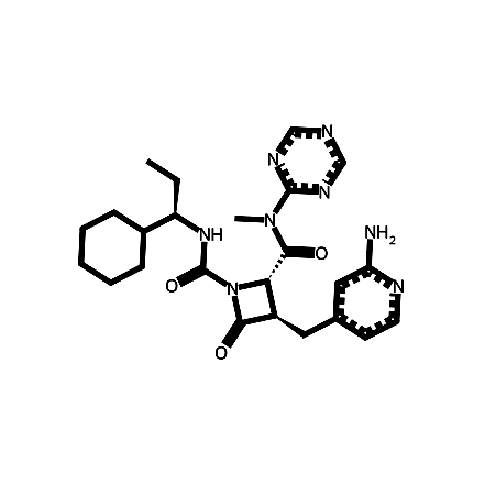 CC[C@@H](NC(=O)N1C(=O)[C@H](Cc2ccnc(N)c2)[C@H]1C(=O)N(C)c1ncncn1)C1CCCCC1